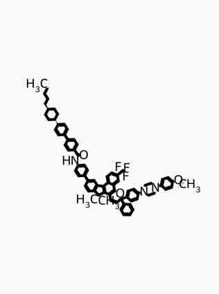 CCCCC[C@H]1CC[C@H](c2ccc(-c3ccc(C(=O)Nc4ccc(-c5ccc6c(c5)-c5c(c7c(c8cc(C(F)(F)F)ccc58)OC(c5ccccc5)(c5ccc(N8CCN(c9ccc(OC)cc9)CC8)cc5)C=C7)C6(C)C)cc4)cc3)cc2)CC1